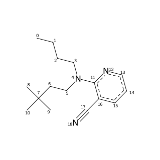 CCCCN(CCC(C)(C)C)c1ncccc1C#N